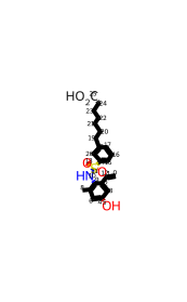 C=Cc1cc(O)cc(C)c1NS(=O)(=O)c1cccc(CCCCCCC(=O)O)c1